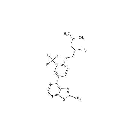 Cc1nc2c(-c3ccc(OCC(C)CC(C)C)c(C(F)(F)F)c3)ncnc2s1